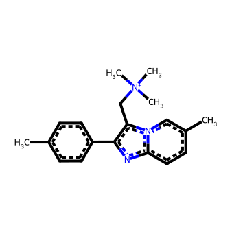 Cc1ccc(-c2nc3ccc(C)cn3c2C[N+](C)(C)C)cc1